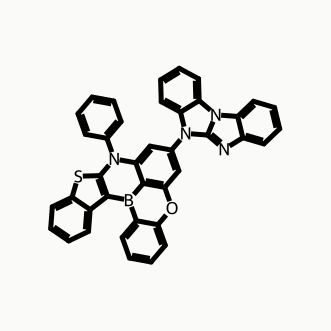 c1ccc(N2c3cc(-n4c5ccccc5n5c6ccccc6nc45)cc4c3B(c3ccccc3O4)c3c2sc2ccccc32)cc1